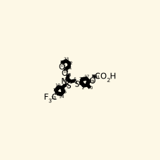 Cc1cc(SCc2sc(-c3ccc(C(F)(F)F)cc3)nc2COC2CCCCO2)ccc1OCC(=O)O